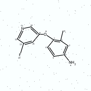 Cc1cc(N)ccc1Oc1cncc(F)c1